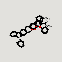 COC(=O)c1nc2cc3c(cc2nc1C(=O)OC)C1c2cc4c(cc2C3c2cc3c5ccccc5n(-c5ccccc5)c3cc21)c1ccccc1n4-c1ccccc1